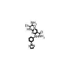 CCC(Nc1ncc(C(N)=O)c(Nc2cccc(-n3nccn3)c2)n1)C(N)=O